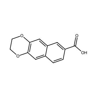 O=C(O)c1ccc2cc3c(cc2c1)OCCO3